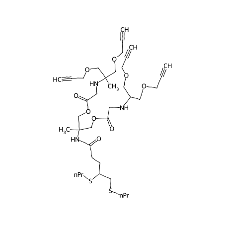 C#CCOCC(COCC#C)NCC(=O)OCC(C)(COC(=O)CNC(C)(COCC#C)COCC#C)NC(=O)CCC(CSCCC)SCCC